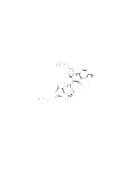 COc1ccc2c(c1)S(=O)(=O)N=C(c1c(O)c3cc(F)ccc3n(CCC(C)(C)C)c1=O)N2